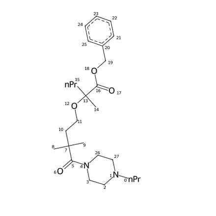 CCCN1CCN(C(=O)C(C)(C)CCOC(C)(CCC)C(=O)OCc2ccccc2)CC1